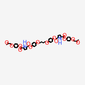 O=C(Oc1ccc(OCCCCOc2ccc(OC(=O)c3ccc(C(=O)Oc4ccc(OCC5CO5)cc4)[nH]3)cc2)cc1)c1ccc(C(=O)Oc2ccc(OCC3CO3)cc2)[nH]1